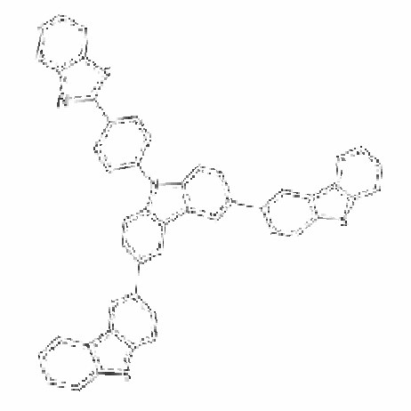 c1ccc2sc(-c3ccc(-n4c5ccc(-c6ccc7sc8ccccc8c7c6)cc5c5cc(-c6ccc7sc8ccccc8c7c6)ccc54)cc3)nc2c1